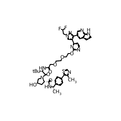 Cc1ncsc1-c1ccc([C@H](C)NC(=O)[C@@H]2C[C@@H](O)CN2C(=O)[C@H](NC(=O)COCCOCCOc2nccc(-c3cn(CC(F)F)nc3-c3cnc4[nH]ccc4c3)n2)C(C)(C)C)cc1